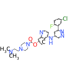 CN(C)CCN1CCN(C(=O)Oc2ccc3c(Nc4cnnc(-c5cc(Cl)ccc5F)c4)ccnc3c2)CC1